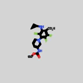 CC(C)(C)OC(=O)NC1=CC=CN(c2c(F)c(F)c(C(=O)O)c(NC3CC3)c2F)C1